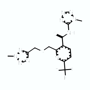 Cn1nnc(CSCc2nc(C(F)(F)F)ccc2C(=S)Nc2nnnn2C)n1